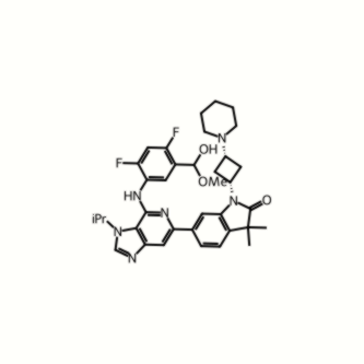 COC(O)c1cc(Nc2nc(-c3ccc4c(c3)N([C@H]3C[C@@H](N5CCCCC5)C3)C(=O)C4(C)C)cc3ncn(C(C)C)c23)c(F)cc1F